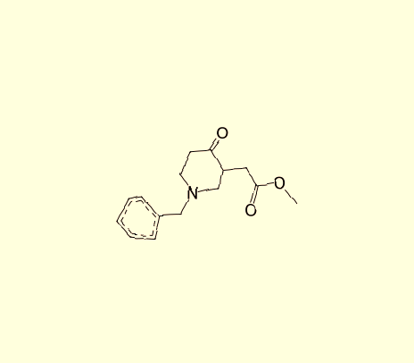 COC(=O)CC1CN(Cc2ccccc2)CCC1=O